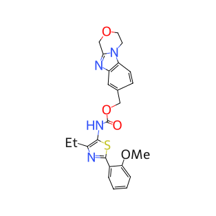 CCc1nc(-c2ccccc2OC)sc1NC(=O)OCc1ccc2c(c1)nc1n2CCOC1